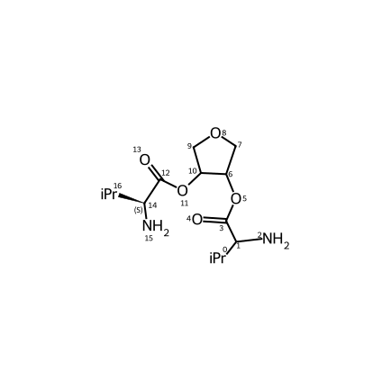 CC(C)C(N)C(=O)OC1COCC1OC(=O)[C@@H](N)C(C)C